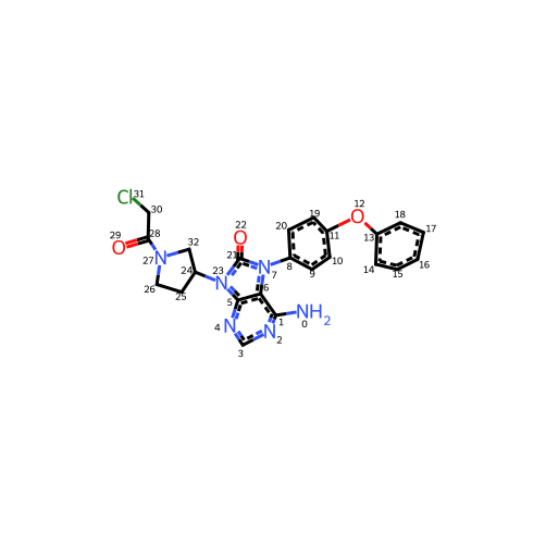 Nc1ncnc2c1n(-c1ccc(Oc3ccccc3)cc1)c(=O)n2C1CCN(C(=O)CCl)C1